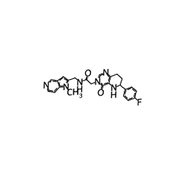 Cn1c(CNC(=O)Cn2cnc3c(c2=O)NC(c2ccc(F)cc2)CC3)cc2cnccc21